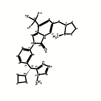 C[C@@H]1CCCN1Cc1cc(C(F)(F)F)c2cn(-c3cccc([C@H](c4nncn4C)C4CCC4)c3)c(=O)n2c1